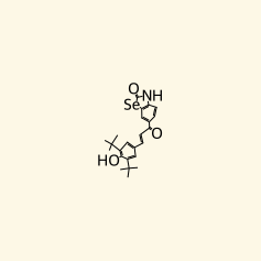 CC(C)(C)c1cc(C=CC(=O)c2ccc3[nH]c(=O)[se]c3c2)cc(C(C)(C)C)c1O